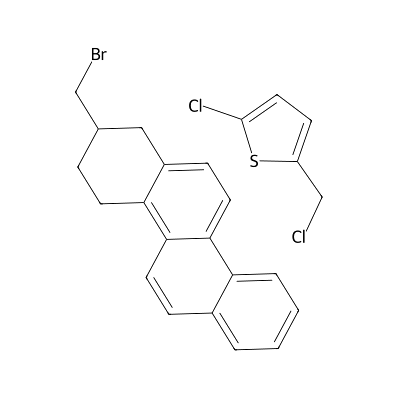 BrCC1CCc2c(ccc3c2ccc2ccccc23)C1.ClCc1ccc(Cl)s1